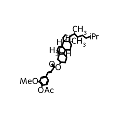 COc1cc(/C=C/C(=O)OC2CC[C@@]3(C)C(=CC[C@H]4[C@@H]5CC[C@H]([C@H](C)CCCC(C)C)[C@@]5(C)CC[C@@H]43)C2)ccc1OC(C)=O